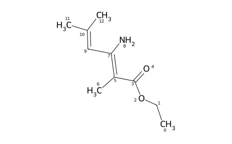 CCOC(=O)/C(C)=C(\N)C=C(C)C